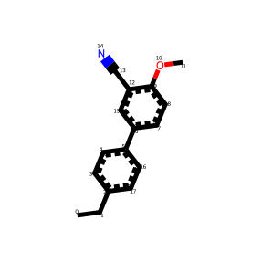 CCc1ccc(-c2ccc(OC)c(C#N)c2)cc1